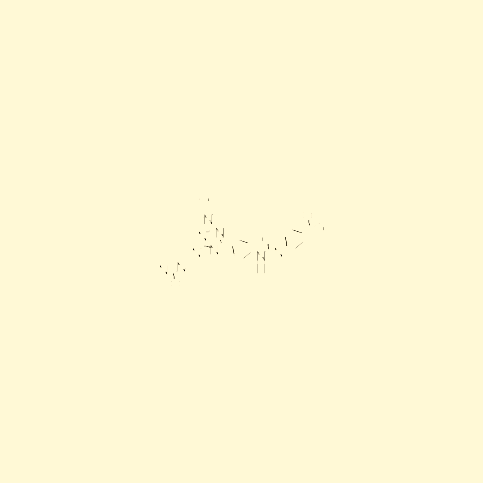 COC(=O)c1ccc(NC(=O)Nc2ccc(-c3nc(N4CCOCC4)nc(N4CCN(C(=O)N(C)C)CC4)n3)cc2)cc1